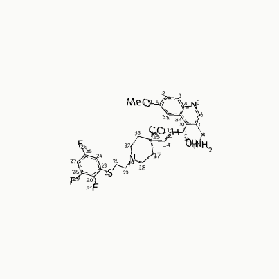 COc1ccc2ncc(CN)c([C@H](O)CCC3(C(=O)O)CCN(CCSc4cc(F)cc(F)c4F)CC3)c2c1